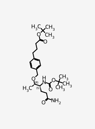 C[C@@H](OCc1ccc(CCCC(=O)OC(C)(C)C)cc1)[C@H](CCC(N)=O)NC(=O)OC(C)(C)C